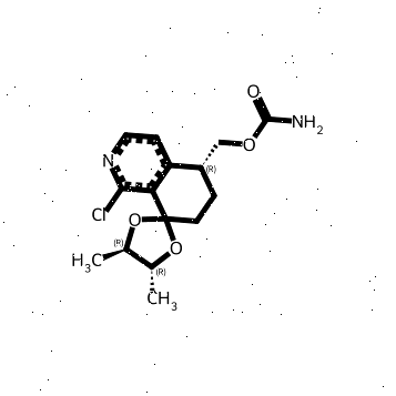 C[C@H]1OC2(CC[C@@H](COC(N)=O)c3ccnc(Cl)c32)O[C@@H]1C